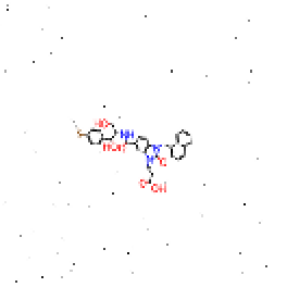 CSc1ccc([C@H](O)C(CO)NC(=O)c2ccc3c(c2)n(CCC(=O)O)c(=O)n3Cc2cccc3ccccc23)cc1